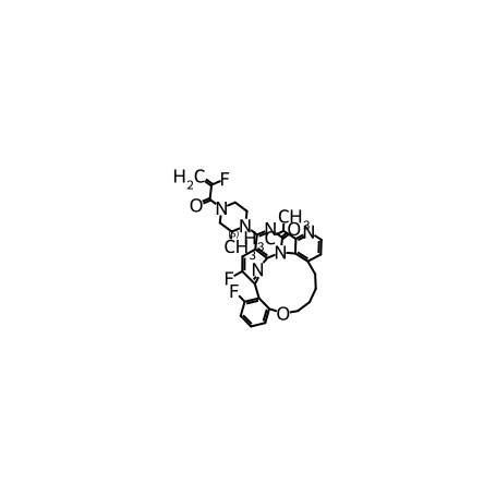 C=C(F)C(=O)N1CCN(c2nc(=O)n3c4nc(c(F)cc24)-c2c(F)cccc2OCCCCc2ccnc(C(C)C)c2-3)[C@@H](C)C1